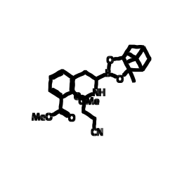 COC(=O)c1cccc(CC(NC(=O)CCC#N)B2OC3CC4CC(C4(C)C)C3(C)O2)c1OC